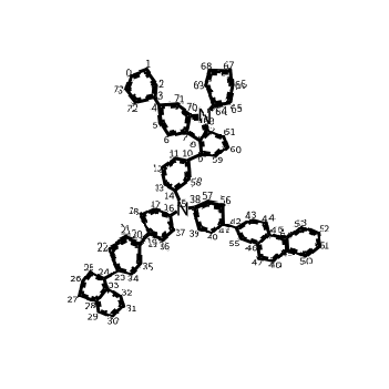 c1ccc(-c2ccc3c4c(-c5cccc(N(c6ccc(-c7ccc(-c8cccc9ccccc89)cc7)cc6)c6ccc(-c7ccc8c(ccc9ccccc98)c7)cc6)c5)cccc4n(-c4ccccc4)c3c2)cc1